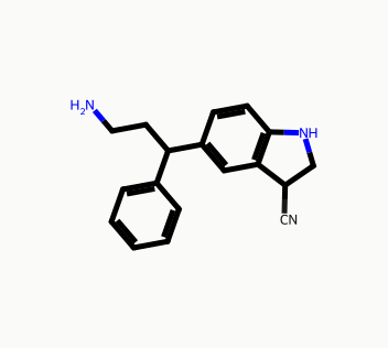 N#CC1CNc2ccc(C(CCN)c3ccccc3)cc21